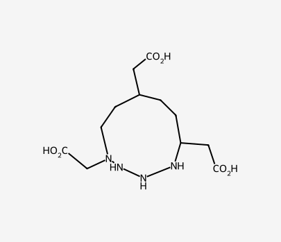 O=C(O)CC1CCC(CC(=O)O)NNNN(CC(=O)O)CC1